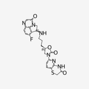 O=C1CSc2ccc(N3C[C@@H](CCCN[C@@H]4Cn5c(=O)cnc6ccc(F)c4c65)OC3=O)nc2N1